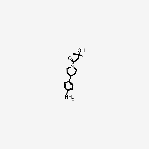 CC(C)(O)CC(=O)N1CCC(c2ccc(N)cc2)CC1